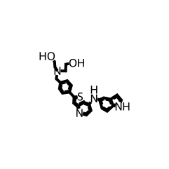 OCCN(CCO)Cc1ccc(-c2cc3nccc(Nc4ccc5[nH]ccc5c4)c3s2)cc1